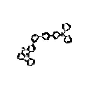 c1ccc(N(c2ccccc2)c2ccc(-c3ccc(-c4cccc(-c5ccc6c(c5)Oc5cccc7c8ccccc8n-6c57)c4)cc3)cc2)cc1